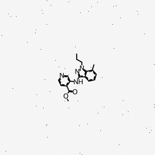 CCCn1nc(Nc2cnccc2C(=O)OC)c2cccc(C)c21